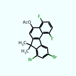 CC(=O)Oc1cc2c(c3c(F)ccc(F)c13)-c1cc(Br)cc(Br)c1C2(C)C